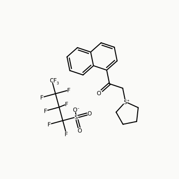 O=C(C[S+]1CCCC1)c1cccc2ccccc12.O=S(=O)([O-])C(F)(F)C(F)(F)C(F)(F)C(F)(F)F